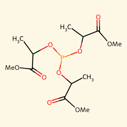 COC(=O)C(C)OP(OC(C)C(=O)OC)OC(C)C(=O)OC